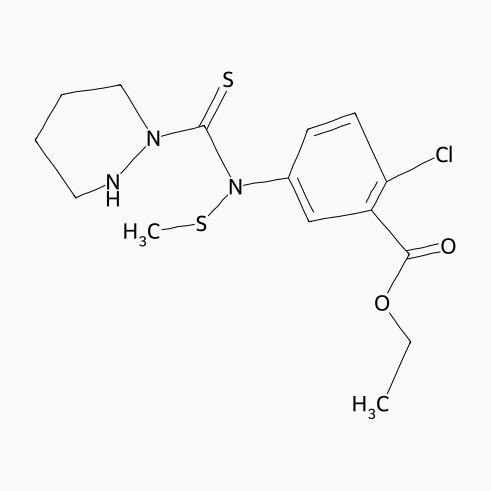 CCOC(=O)c1cc(N(SC)C(=S)N2CCCCN2)ccc1Cl